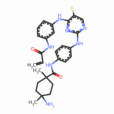 C=CC(=O)Nc1cccc(Nc2nc(Nc3ccc(NC(=O)C4(C)CCC(C)(N)CC4)cc3)ncc2F)c1